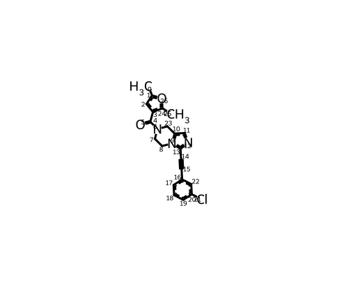 Cc1cc(C(=O)N2CCn3c(cnc3C#Cc3cccc(Cl)c3)C2)c(C)o1